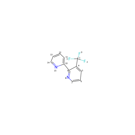 FC(F)(F)c1cccnc1-c1ccccn1